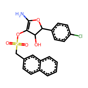 NC1=C(OS(=O)(=O)Cc2ccc3ccccc3c2)C(O)C(c2ccc(Cl)cc2)O1